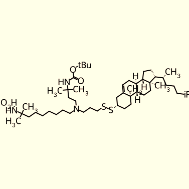 CC(C)CCC[C@@H](C)[C@H]1CC[C@H]2[C@@H]3CC=C4C[C@@H](SSCCCN(CCCCCCCC(C)(C)NC(=O)O)CCC(C)(C)NC(=O)OC(C)(C)C)CC[C@]4(C)[C@H]3CC[C@]12C